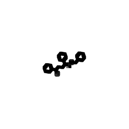 O=C(CC/C(=N/OCc1ccccc1)c1ccccc1)c1ccccc1